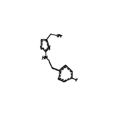 CC(C)Cc1csc(NCCc2ccc(F)cc2)n1